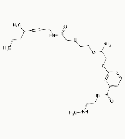 CCCC(C)C#CCNC(=O)COCCOC(N)COc1cccc(C(=O)NCCNC)c1